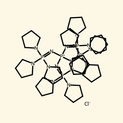 C1CCN(P(=N[P+](N=P(N2CCCC2)(N2CCCC2)N2CCCC2)(N=P(N2CCCC2)(N2CCCC2)N2CCCC2)N=P(N2CCCC2)(N2CCCC2)N2CCCC2)(N2CCCC2)N2CCCC2)C1.[Cl-]